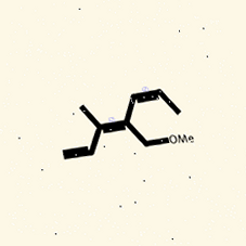 C=C/C(C)=C(/C=C\C)COC